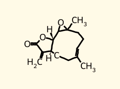 C=C1C(=O)O[C@@H]2C3OC3(C)CC/C=C(\C)CC[C@@H]12